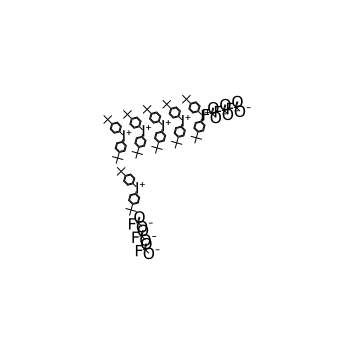 CC(C)(C)c1ccc([I+]c2ccc(C(C)(C)C)cc2)cc1.CC(C)(C)c1ccc([I+]c2ccc(C(C)(C)C)cc2)cc1.CC(C)(C)c1ccc([I+]c2ccc(C(C)(C)C)cc2)cc1.CC(C)(C)c1ccc([I+]c2ccc(C(C)(C)C)cc2)cc1.CC(C)(C)c1ccc([I+]c2ccc(C(C)(C)C)cc2)cc1.CC(C)(C)c1ccc([I+]c2ccc(C(C)(C)C)cc2)cc1.O=C([O-])F.O=C([O-])F.O=C([O-])F.O=C([O-])F.O=C([O-])F.O=C([O-])F